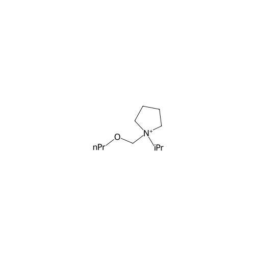 CCCOC[N+]1(C(C)C)CCCC1